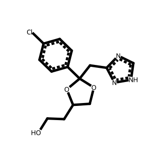 OCCC1COC(Cc2nc[nH]n2)(c2ccc(Cl)cc2)O1